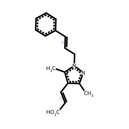 Cc1nn(C/C=C/c2ccccc2)c(C)c1/C=C/C(=O)O